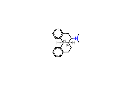 CN(C)C1Cc2ccccc2[C@H]2c3ccccc3CC[C@@H]12